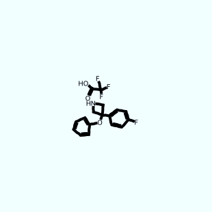 Fc1ccc(C2(Oc3ccccc3)CNC2)cc1.O=C(O)C(F)(F)F